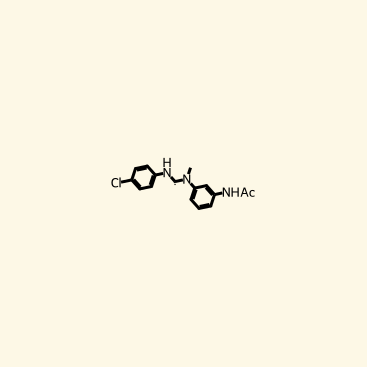 CC(=O)Nc1cccc(N(C)[CH]Nc2ccc(Cl)cc2)c1